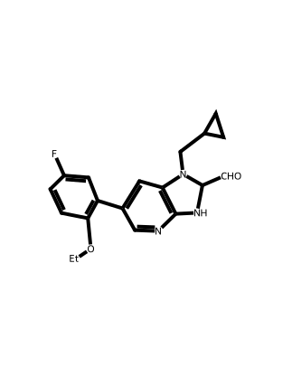 CCOc1ccc(F)cc1-c1cnc2c(c1)N(CC1CC1)C(C=O)N2